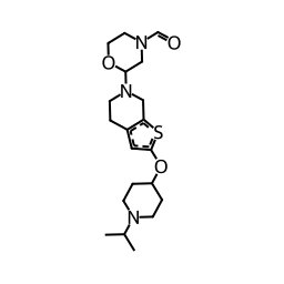 CC(C)N1CCC(Oc2cc3c(s2)CN(C2CN(C=O)CCO2)CC3)CC1